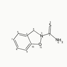 NC(=S)N1Cc2ccccc2O1